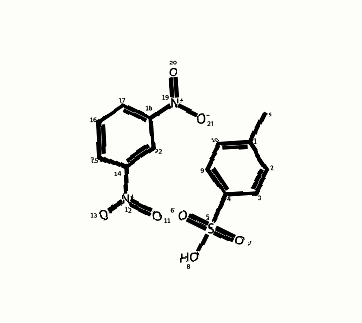 Cc1ccc(S(=O)(=O)O)cc1.O=[N+]([O-])c1cccc([N+](=O)[O-])c1